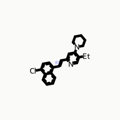 CCc1cnc(/C=C/c2ccc(Cl)c3ccccc23)cc1N1CCCCC1